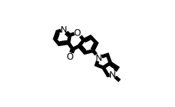 CN1C=C2CN(c3ccc4oc5ncccc5c(=O)c4c3)CC2C1